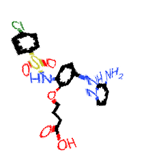 Nc1cccnc1Nc1ccc(NS(=O)(=O)c2ccc(Cl)cc2)c(OCCCC(=O)O)c1